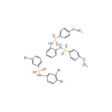 O=S(=O)(Nc1ccc(Br)c(Br)c1)c1cccc(Br)c1.O=S(=O)(Nc1ccccc1NS(=O)(=O)c1ccc(OC(F)(F)F)cc1)c1ccc(OC(F)(F)F)cc1